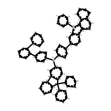 c1ccc(-c2ccccc2-c2ccc(N(c3ccc(-c4ccc5c6ccc7ccccc7c6n(-c6ccccc6)c5c4)cc3)c3ccc4c(c3)-c3ccccc3C4(c3ccccc3)c3ccccc3)cc2)cc1